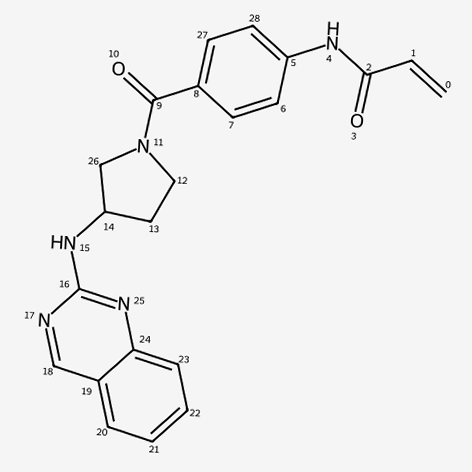 C=CC(=O)Nc1ccc(C(=O)N2CCC(Nc3ncc4ccccc4n3)C2)cc1